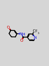 O=C1C=C(NC(=O)c2ccnc(C(F)(F)F)c2)CCC1